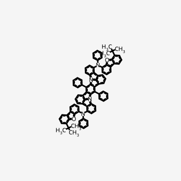 CC(C)(C)c1cccc2c1oc1c(N(c3ccccc3)c3cccc4c3c3cccc5c6c(-c7ccccc7)c7c(c(-c8ccccc8)c6n4c35)c3cccc4c5c(N(c6ccccc6)c6cccc8c6oc6c(C(C)(C)C)cccc68)cccc5n7c43)cccc12